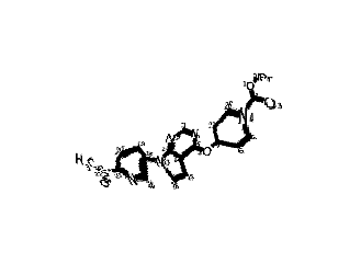 CC(C)OC(=O)N1CCC(Oc2ncnc3c2CCN3c2ccc([S+](C)[O-])nc2)CC1